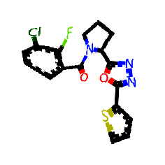 O=C(c1cccc(Cl)c1F)N1CCCC1c1nnc(-c2cccs2)o1